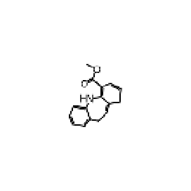 COC(=O)C1=C2Nc3ccccc3CC=C2CC=C1